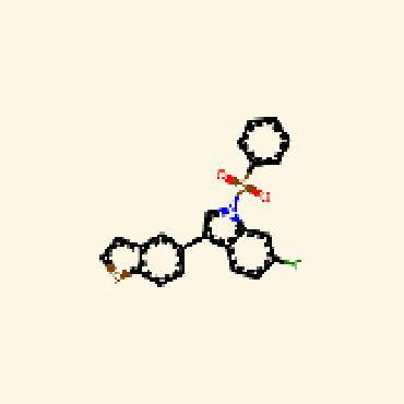 O=S(=O)(c1ccccc1)n1cc(-c2ccc3sccc3c2)c2ccc(F)cc21